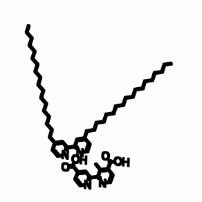 CCCCCCCCCCCCCCCCCCc1ccnc(-c2cc(CCCCCCCCCCCCCCCCCC)ccn2)c1.Cc1c(C(=O)O)ccnc1-c1cc(C(=O)O)ccn1